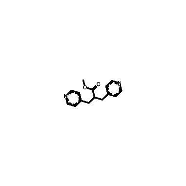 COC(=O)C(Cc1ccncc1)Cc1ccncc1